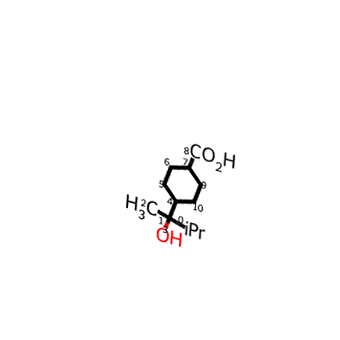 CC(C)C(C)(O)C1CCC(C(=O)O)CC1